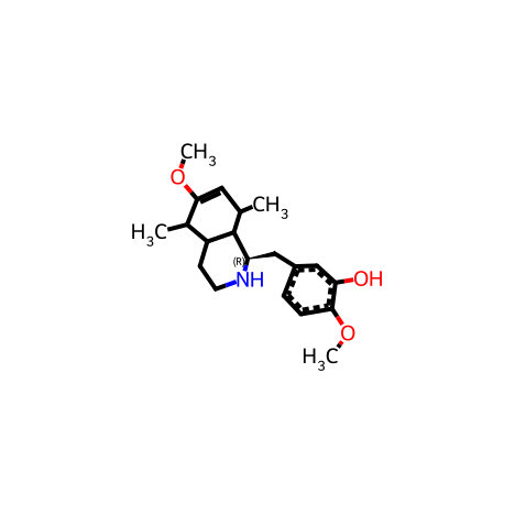 COC1=CC(C)C2C(CCN[C@@H]2Cc2ccc(OC)c(O)c2)C1C